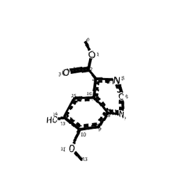 COC(=O)c1ncnc2cc(OC)c(O)cc12